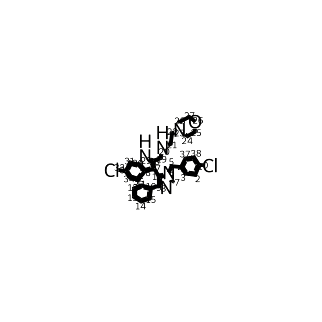 Clc1ccc(Cn2cnc(-c3ccccc3)c2-c2c(CNCCN3CCOCC3)[nH]c3cc(Cl)ccc23)cc1